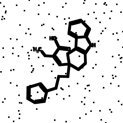 CCC(=CC1(CCCc2ccccc2)CCc2[nH]c3ccccc3c2C1)C(=O)O